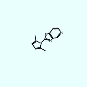 Cc1ccc(C)n1-c1nc2cnccc2s1